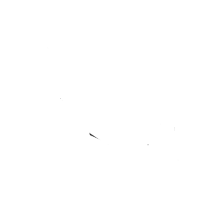 CCOC(=O)C=C[C@@H]1COC(C)(C)O1